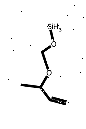 C=CC(C)OCO[SiH3]